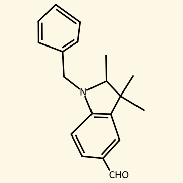 CC1N(Cc2ccccc2)c2ccc(C=O)cc2C1(C)C